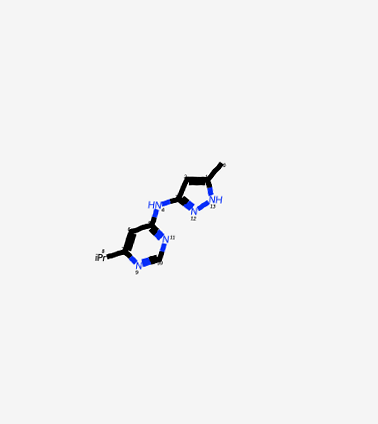 Cc1cc(Nc2cc(C(C)C)ncn2)n[nH]1